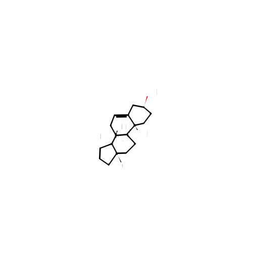 CC(C)[C@@]12CCC[C@H]1[C@]1(C)CC=C3C[C@@H](O)CC[C@]3(C)[C@H]1CC2